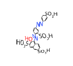 O=S(=O)(O)c1ccc(N=Nc2ccc(N=Nc3c(O)c(S(=O)(=O)O)cc4cc(S(=O)(=O)O)ccc34)c(S(=O)(=O)O)c2)cc1